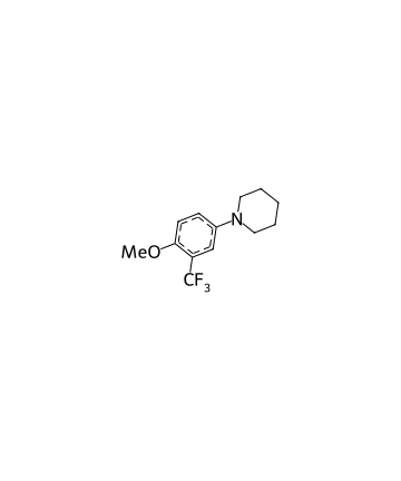 COc1ccc(N2CCCCC2)cc1C(F)(F)F